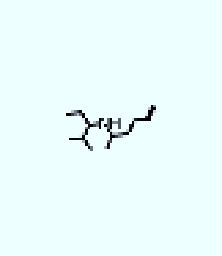 C=CCCC(C)NC(CC)C(C)C